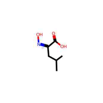 CC(C)C/C(=N/O)C(=O)O